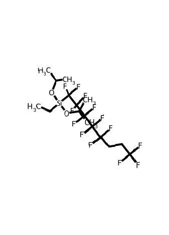 CC[Si](OC(C)C)(OC(C)C)C(F)(F)C(F)(F)C(F)(F)C(F)(F)C(F)(F)CCC(F)(F)F